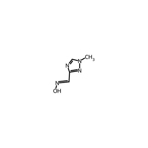 Cn1cnc(C=NO)n1